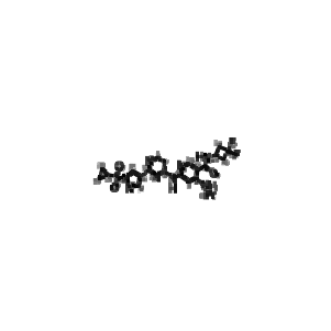 CC(C)Nc1cc(Nc2ccnc(-c3cnn(S(=O)(=O)C4CC4)c3)n2)ncc1C(=O)NC1CC(F)(F)C1